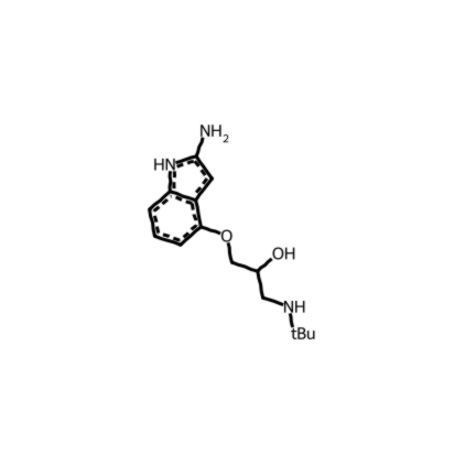 CC(C)(C)NCC(O)COc1cccc2[nH]c(N)cc12